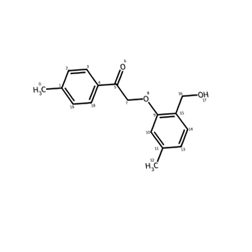 Cc1ccc(C(=O)COc2cc(C)ccc2CO)cc1